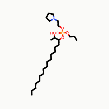 CCCCCCCCCCCCCCCC(OP(=O)(OCCC)OCCN1CCCC1)C(C)O